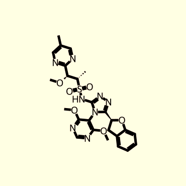 COc1ncnc(OC)c1-n1c(NS(=O)(=O)[C@@H](C)[C@H](OC)c2ncc(C)cn2)nnc1[C@@H]1Cc2ccccc2O1